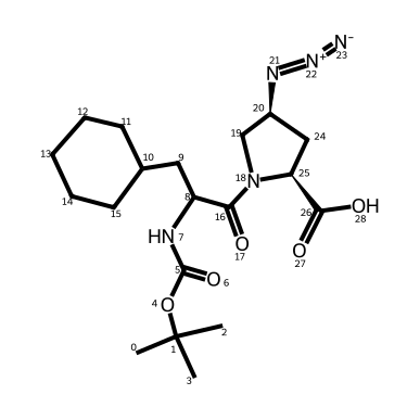 CC(C)(C)OC(=O)NC(CC1CCCCC1)C(=O)N1C[C@@H](N=[N+]=[N-])C[C@H]1C(=O)O